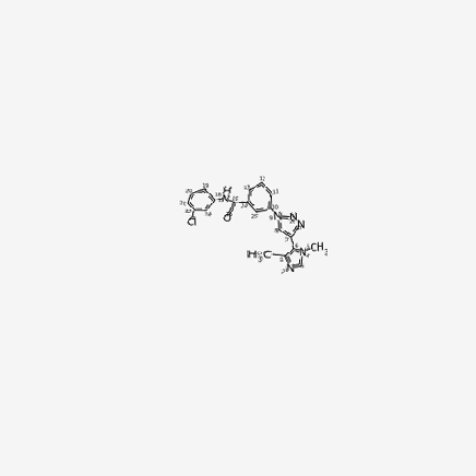 Cc1ncn(C)c1-c1cn(-c2cccc(C(=O)Nc3cccc(Cl)c3)c2)nn1